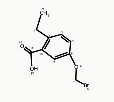 CCc1ccc(OCBr)cc1C(=O)O